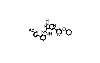 CC(=O)c1ccc(-c2cccc3[nH]c(-c4n[nH]c5cnc(-c6cncc(OC7CCCCC7)c6)cc45)nc23)s1